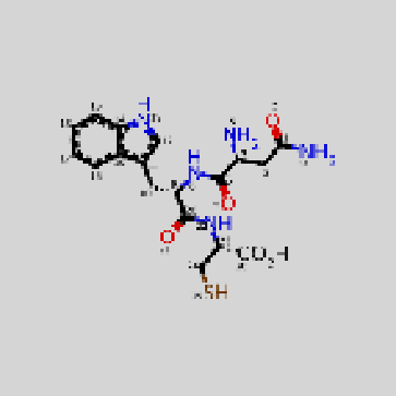 NC(=O)C[C@H](N)C(=O)N[C@@H](Cc1c[nH]c2ccccc12)C(=O)N[C@@H](CS)C(=O)O